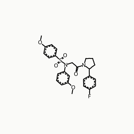 COc1ccc(S(=O)(=O)N(CC(=O)N2CCCC2c2ccc(F)cc2)c2cccc(OC)c2)cc1